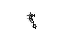 CCNC(=O)N1C[C@@]2(C)CN(c3ccc(C)cc3)C[C@@]2(C)C1